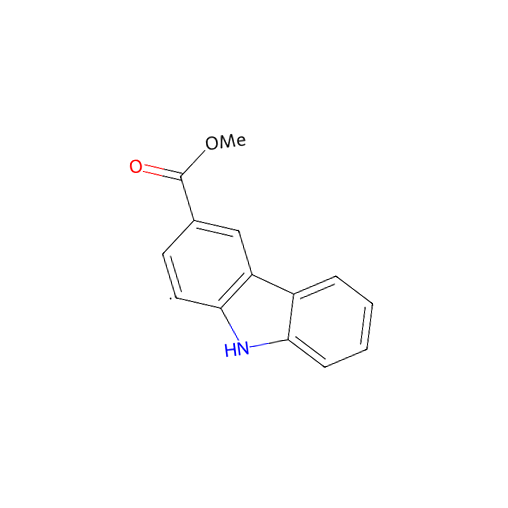 COC(=O)c1c[c]c2[nH]c3ccccc3c2c1